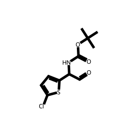 CC(C)(C)OC(=O)NC(C=O)c1ccc(Cl)s1